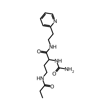 CCC(=O)NCCC(NC(N)=O)C(=O)NCCc1ccccn1